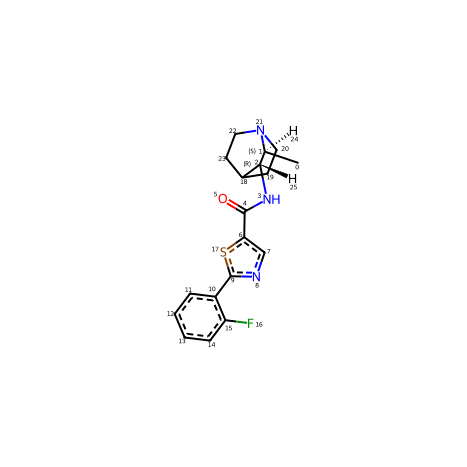 C[C@H]1[C@H](NC(=O)c2cnc(-c3ccccc3F)s2)C2CCN1CC2